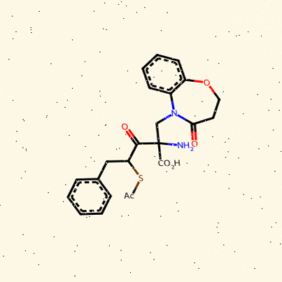 CC(=O)SC(Cc1ccccc1)C(=O)C(N)(CN1C(=O)CCOc2ccccc21)C(=O)O